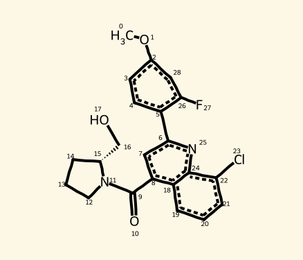 COc1ccc(-c2cc(C(=O)N3CCC[C@@H]3CO)c3cccc(Cl)c3n2)c(F)c1